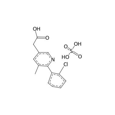 Cc1cc(CC(=O)O)cnc1-c1ccccc1Cl.O=S(=O)(O)O